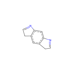 C1=Nc2cc3c(cc2C1)CC=N3